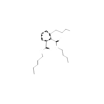 CCCCCOC(=O)c1cccc(CCCC)c1C(=O)OCCCC